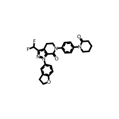 O=C1CCCCN1c1ccc(N2CCc3c(C(F)F)nn(-c4ccc5c(c4)CCO5)c3C2=O)cc1